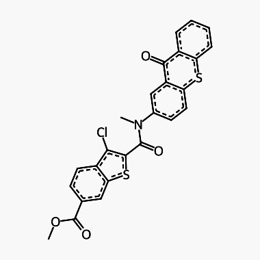 COC(=O)c1ccc2c(Cl)c(C(=O)N(C)c3ccc4sc5ccccc5c(=O)c4c3)sc2c1